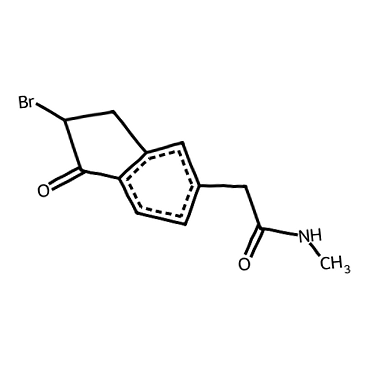 CNC(=O)Cc1ccc2c(c1)CC(Br)C2=O